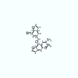 CSC(=Cc1ccc2ccoc2c1OCc1cc(Br)c2occc2c1)[S+](C)[O-]